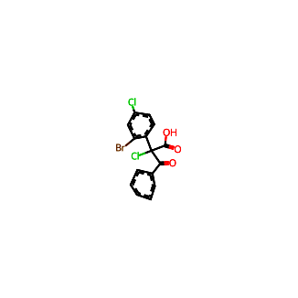 O=C(O)C(Cl)(C(=O)c1ccccc1)c1ccc(Cl)cc1Br